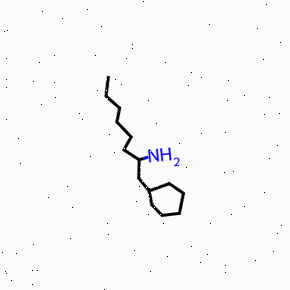 CCCCCCC(N)CC1CCCCC1